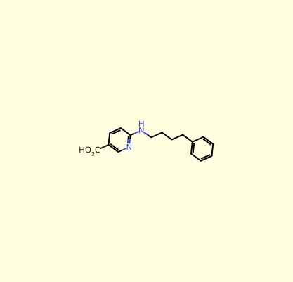 O=C(O)c1ccc(NCCCCc2ccccc2)nc1